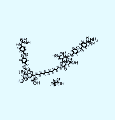 N=C(N)Nc1ccc(C(=O)Oc2ccc(COC(=O)N[C@@H](CC(=O)O)C(=O)N[C@@H](CC(=O)O)C(=O)NCCCCCCCCCCCCNC(=O)[C@H](CC(=O)O)NC(=O)[C@H](CC(=O)O)NC(=O)OCc3ccc(OC(=O)c4ccc(NC(=N)N)cc4)cc3)cc2)cc1.O=C(O)C(F)(F)F